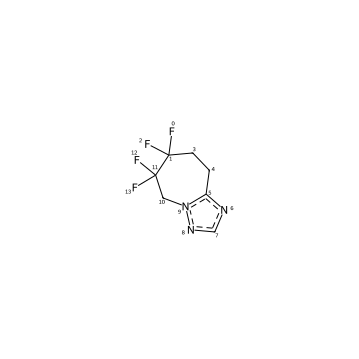 FC1(F)CCc2ncnn2CC1(F)F